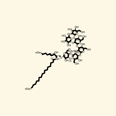 CCCCCCCCCCCCC/C=C/[C@@H](O)[C@H](CO[C@@H]1OC(CO)[C@@H](O[C@@H]2OC(CO)[C@H](O)[C@H](O[C@@H]3OC(CO)[C@@H](O)[C@H](O[C@@H]4OC(CO)[C@H](O)[C@H](O[C@H]5OC(CO)[C@H](O)[C@H](O)C5O)C4O[C@H]4OC(C)[C@@H](O)C(O)[C@@H]4O)C3NC(C)=O)C2O)[C@H](O)C1O)NC(=O)CCCCCCCCCCCCCCCCCCCCCCCCC